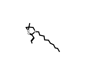 CC=CC(=O)N(CCCCCCCCCC)CC1(C)CO1